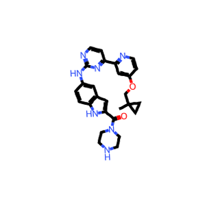 CC1(COc2ccnc(-c3ccnc(Nc4ccc5[nH]c(C(=O)N6CCNCC6)cc5c4)n3)c2)CC1